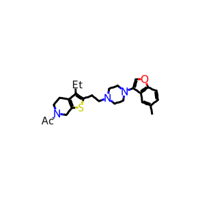 CCc1c(CCN2CCN(c3coc4ccc(C)cc34)CC2)sc2c1CCN(C(C)=O)C2